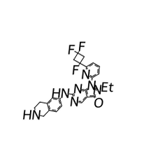 CCn1c(=O)c2cnc(Nc3ccc4c(c3)CCNC4)nc2n1-c1cccc(C2(F)CC(F)(F)C2)n1